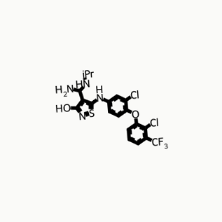 CC(C)NC(N)c1c(O)nsc1Nc1ccc(Oc2cccc(C(F)(F)F)c2Cl)c(Cl)c1